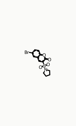 O=c1oc2ccc(Br)cc2cc1S(=O)(=O)N1CCCC1